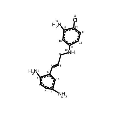 Nc1ccc(N)c(C=CCNc2ccc(Cl)c(N)c2)c1